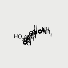 N=C(N)c1ccc([C@@H]2C[C@H](CC(=O)NC[C@H](NS(=O)(=O)c3ccccc3Cl)C(=O)O)ON2)cc1